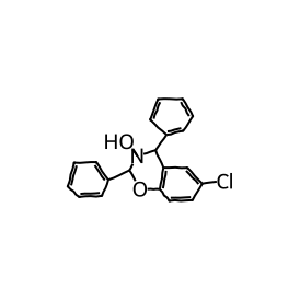 ON1C(c2ccccc2)Oc2ccc(Cl)cc2C1c1ccccc1